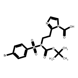 CC(C)(C)OC(=O)N(CCc1nccn1C(=O)O)S(=O)(=O)c1ccc(Br)cc1